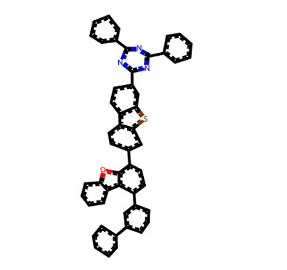 c1ccc(-c2cccc(-c3ccc(-c4ccc5c(c4)sc4cc(-c6nc(-c7ccccc7)nc(-c7ccccc7)n6)ccc45)c4oc5ccccc5c34)c2)cc1